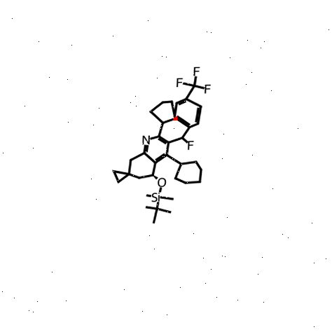 CC(C)(C)[Si](C)(C)O[C@H]1CC2(CC2)Cc2nc(C3CCCC3)c(C(F)c3ccc(C(F)(F)F)cc3)c(C3CCCCC3)c21